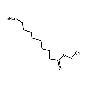 CCCCCCCCCCCCCCCCCC(=O)ONC#N